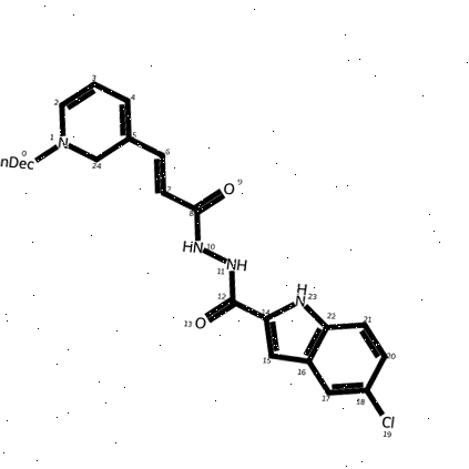 CCCCCCCCCCN1C=CC=C(/C=C/C(=O)NNC(=O)c2cc3cc(Cl)ccc3[nH]2)C1